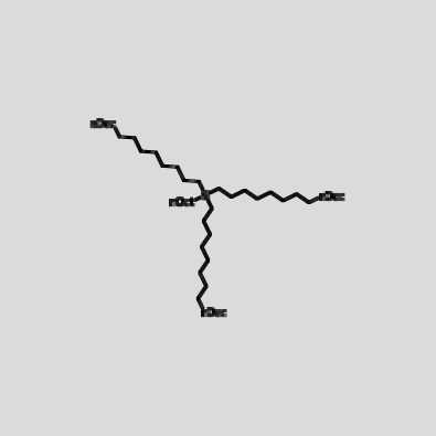 CCCCCCCCCCCCCCCCCC[Si](CCCCCCCC)(CCCCCCCCCCCCCCCCCC)CCCCCCCCCCCCCCCCCC